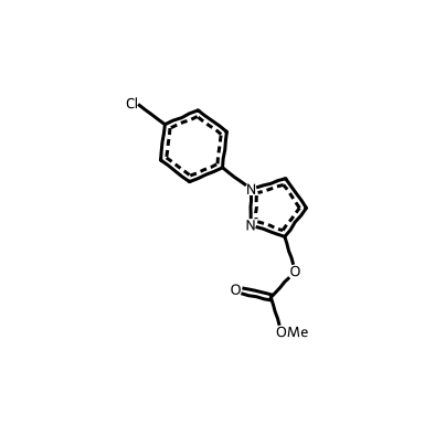 COC(=O)Oc1ccn(-c2ccc(Cl)cc2)n1